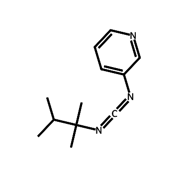 CC(C)C(C)(C)N=C=Nc1cccnc1